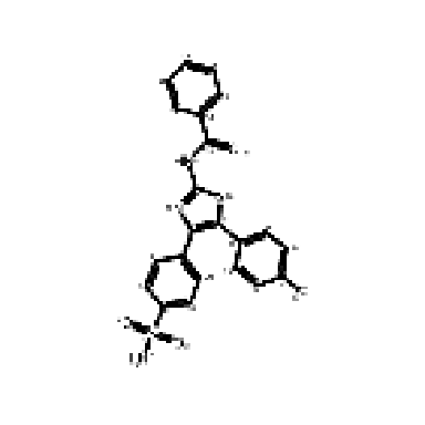 NS(=O)(=O)c1ccc(-c2nc(NC(=O)c3ccccc3)sc2-c2ccc(F)cc2)cc1